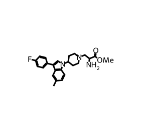 COC(=O)C(N)CN1CCC(n2cc(-c3ccc(F)cc3)c3cc(C)ccc32)CC1